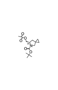 CC(C)(C)OC(=O)N1CC2(CC2)C[C@@H]1COS(C)(=O)=O